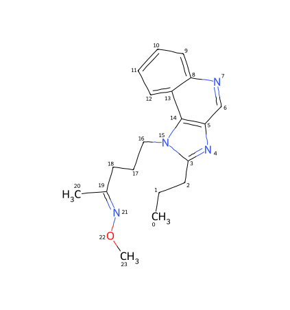 CCCc1nc2cnc3ccccc3c2n1CCCC(C)=NOC